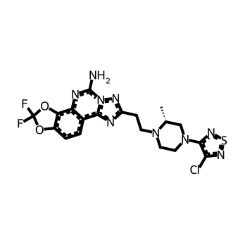 C[C@@H]1CN(c2nsnc2Cl)CCN1CCc1nc2c3ccc4c(c3nc(N)n2n1)OC(F)(F)O4